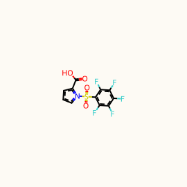 O=C(O)c1cccn1S(=O)(=O)c1c(F)c(F)c(F)c(F)c1F